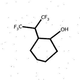 OC1CCCC[C]1C(C(F)(F)F)C(F)(F)F